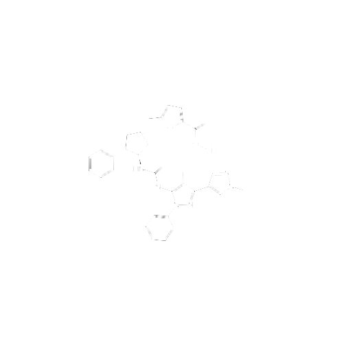 COC(=O)c1ccc(O[C@@H]2C[C@@H](NC(=O)Nc3c(C)c(-c4cnn(C)c4)nn3-c3ccccc3)[C@H](c3ccccc3)C2)o1